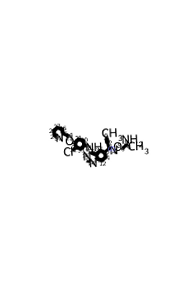 CC#C/C(=N\OC[C@@H](C)N)c1ccc2ncnc(Nc3ccc(OCc4ccccn4)c(Cl)c3)c2c1